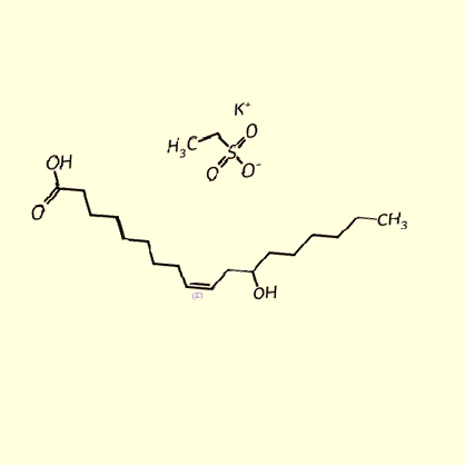 CCCCCCC(O)C/C=C\CCCCCCCC(=O)O.CCS(=O)(=O)[O-].[K+]